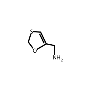 NCC1=CSCO1